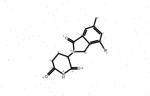 Cc1cc(Br)c2c(c1)C(=O)N(C1CCC(=O)NC1=O)C2